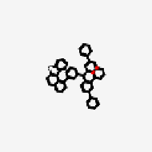 c1ccc(-c2cccc(C(c3cccc(-c4cccc5ccc6oc7ccccc7c6c45)c3)c3ccc(-c4ccccc4)cc3-c3ccccc3)c2)cc1